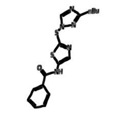 CCCCc1ncn(Sc2ncc(NC(=O)c3ccccc3)s2)n1